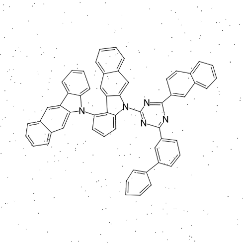 c1ccc(-c2cccc(-c3nc(-c4ccc5ccccc5c4)nc(-n4c5cc6ccccc6cc5c5c(-n6c7ccccc7c7cc8ccccc8cc76)cccc54)n3)c2)cc1